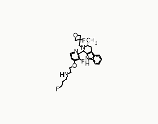 C[C@@H]1Cc2c([nH]c3ccccc23)C(c2nccc(OCCNCCCF)c2F)N1CC1(F)COC1